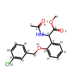 COC(=O)C(NC(C)=O)c1ccccc1OCc1cccc(Cl)c1